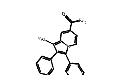 NC(=O)c1ccn2c(-c3ccccc3)c(-c3ccccc3)c(O)c2c1